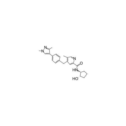 Cc1cnc(C(=O)N[C@H]2CCC[C@@H]2O)cc1Cc1ccc(-c2cn(C)nc2C)cc1